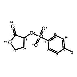 Cc1ccc(S(=O)(=O)OC2CCOC2=O)cc1